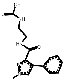 Cn1cc(-c2ccccc2)c(C(=O)NCCNC(=O)O)n1